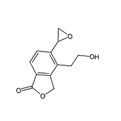 O=C1OCc2c1ccc(C1CO1)c2CCO